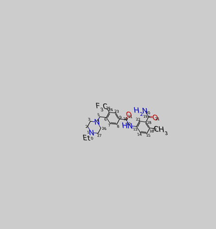 CCN1CCN(Cc2ccc(C(=O)Nc3ccc(C)c(C(N)=O)c3)cc2C(F)(F)F)CC1